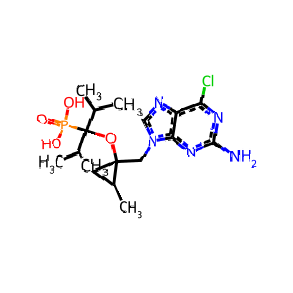 CC1CC1(Cn1cnc2c(Cl)nc(N)nc21)OC(C(C)C)(C(C)C)P(=O)(O)O